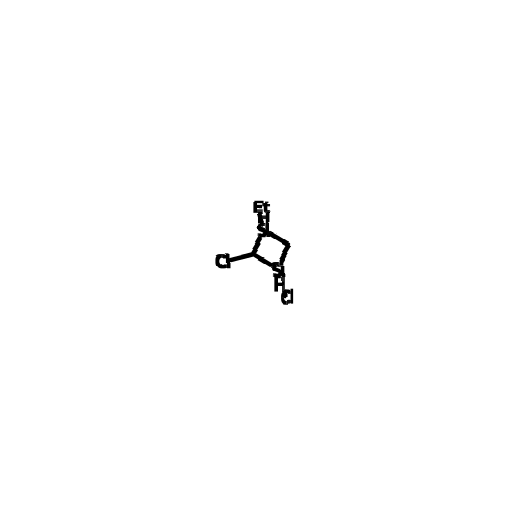 CC[SiH]1C[SiH](Cl)C1Cl